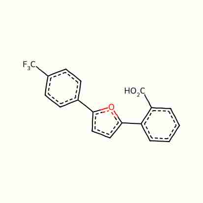 O=C(O)c1ccccc1-c1ccc(-c2ccc(C(F)(F)F)cc2)o1